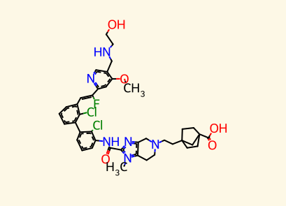 COc1cc(C(F)=Cc2cccc(-c3cccc(NC(=O)c4nc5c(n4C)CCN(CCC46CCC(C(=O)O)(CC4)C6)C5)c3Cl)c2Cl)ncc1CNCCO